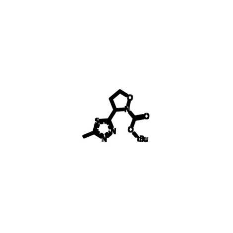 Cc1nnc(C2CCON2C(=O)OC(C)(C)C)s1